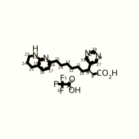 O=C(O)C(F)(F)F.O=C(O)C[C@@H](CCCCCCc1ccc2c(n1)NCCC2)c1cncnc1